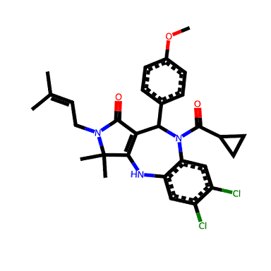 COc1ccc(C2C3=C(Nc4cc(Cl)c(Cl)cc4N2C(=O)C2CC2)C(C)(C)N(CC=C(C)C)C3=O)cc1